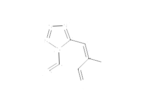 C=C/C(=C\c1nnnn1C=C)C(C)(C)C